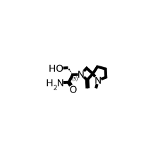 C=C1N([C@@H](CO)C(N)=O)CC12CCCN2C